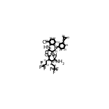 NC(=O)[C@@H](CCC(F)(F)F)[C@@H](CCC(F)(F)F)C(=O)N[C@H]1CN(c2cccc(C3CC3)c2)c2cccc(Cl)c2NC1=O